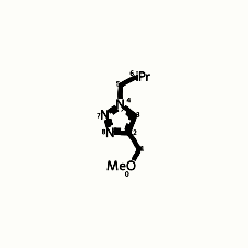 COCc1cn(CC(C)C)nn1